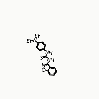 CCN(CC)c1ccc(NC(=S)Nc2noc3ccccc23)cc1